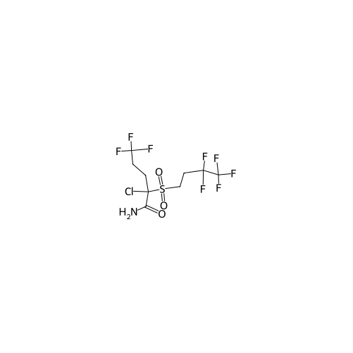 NC(=O)C(Cl)(CCC(F)(F)F)S(=O)(=O)CCC(F)(F)C(F)(F)F